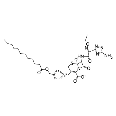 CCCCCCCCCCCC(=O)OCc1cc[n+](CC2=C(C(=O)[O-])N3C(=O)C(NC(=O)C(=NOCC)c4nsc(N)n4)[C@@H]3SC2)cc1